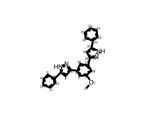 COc1cc(-c2cc(-c3ccccc3)[nH]n2)cc(-c2cc(-c3ccccc3)[nH]n2)c1